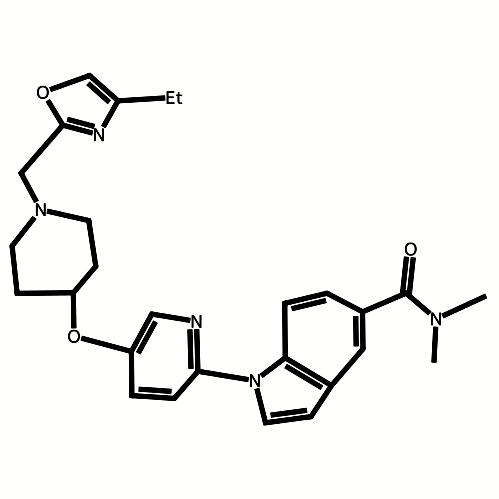 CCc1coc(CN2CCC(Oc3ccc(-n4ccc5cc(C(=O)N(C)C)ccc54)nc3)CC2)n1